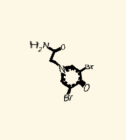 NC(=O)Cn1cc(Br)c(=O)c(Br)c1